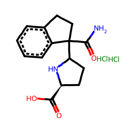 Cl.Cl.NC(=O)C1(C2CC[C@@H](C(=O)O)N2)CCc2ccccc21